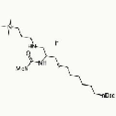 CCCCCCCCCCCCCCCCSCC(CNCCC[N+](C)(C)C)NC(=O)NC.[I-]